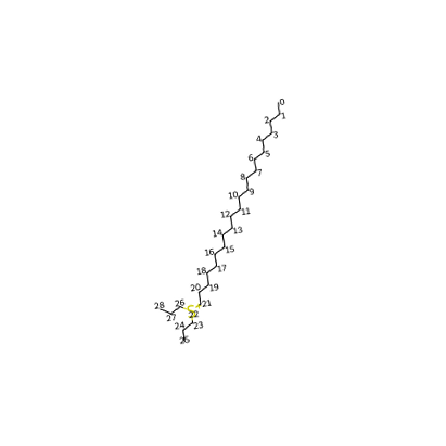 CCCCCCCCCCCCCCCCCCCCCC[S+](CCC)CCC